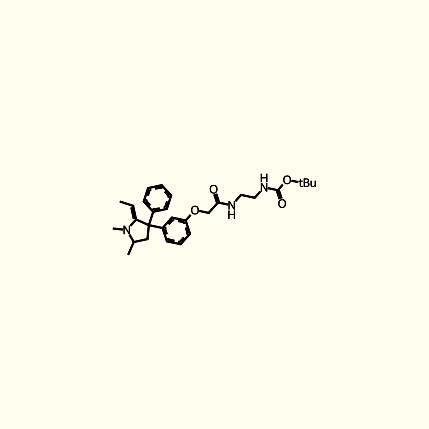 C/C=C1\N(C)C(C)CC1(c1ccccc1)c1cccc(OCC(=O)NCCNC(=O)OC(C)(C)C)c1